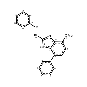 COc1ccc(-c2ccccc2)c2sc(NCc3ccccc3)nc12